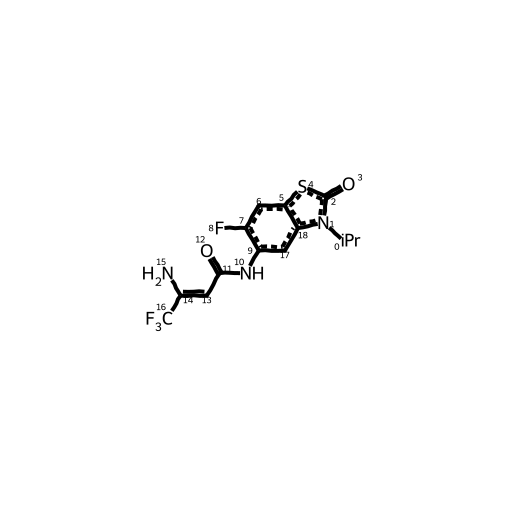 CC(C)n1c(=O)sc2cc(F)c(NC(=O)/C=C(\N)C(F)(F)F)cc21